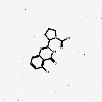 O=C(O)N1CCCC1c1nc2cccc(Cl)c2c(=O)[nH]1